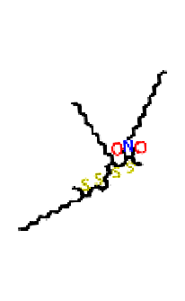 CCCCCCCCCCCCCCN1C(=O)c2c(C)sc(-c3sc(-c4ccc(-c5cc(CCCCCCCCCCCC)c(C)s5)s4)cc3CCCCCCCCCCCC)c2C1=O